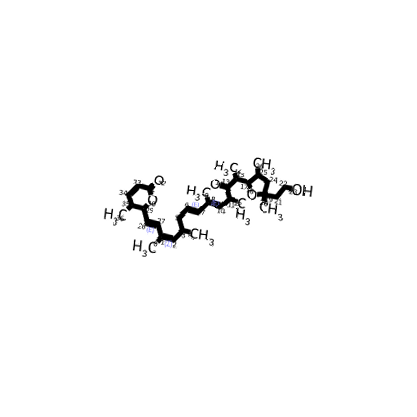 CC(=C/C(C)C/C=C/C(C)=C/C(C)C(=O)C(C)C1OC(C)(CCO)CC1C)/C=C/C1OC(=O)C=CC1C